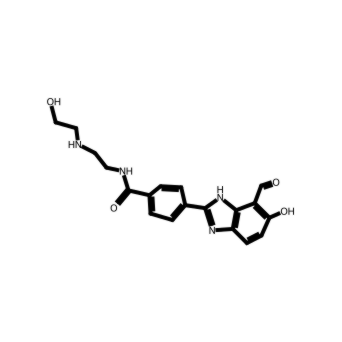 O=Cc1c(O)ccc2nc(-c3ccc(C(=O)NCCNCCO)cc3)[nH]c12